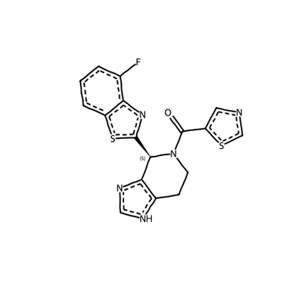 O=C(c1cncs1)N1CCc2[nH]cnc2[C@H]1c1nc2c(F)cccc2s1